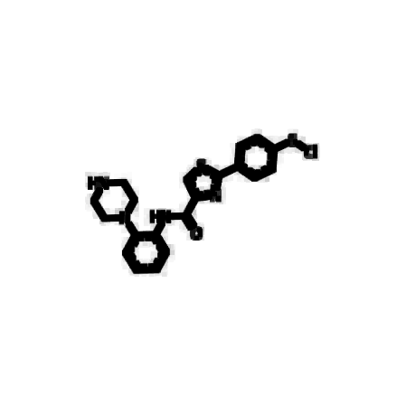 O=C(Nc1ccccc1N1CCNCC1)c1csc(-c2ccc(SCl)cc2)n1